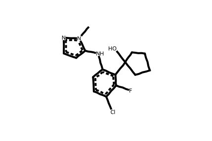 Cn1nccc1Nc1ccc(Cl)c(F)c1C1(O)CCCC1